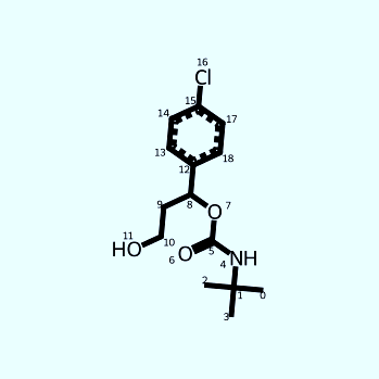 CC(C)(C)NC(=O)OC(CCO)c1ccc(Cl)cc1